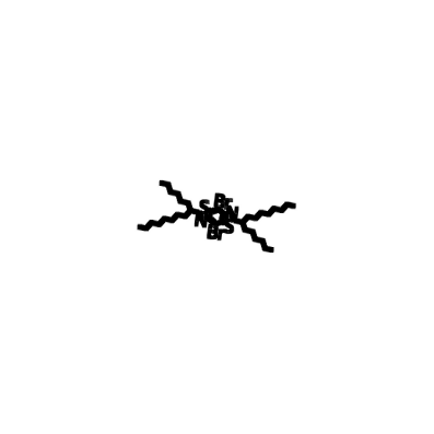 CCCCCCCCC(CCCCCC)c1nc2c(Br)c3sc(C(CCCCCC)CCCCCCCC)nc3c(Br)c2s1